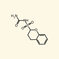 NC(=O)NS(=O)(=O)C1CCc2ccccc2O1